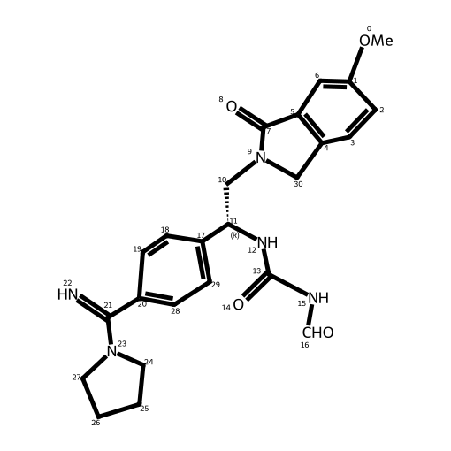 COc1ccc2c(c1)C(=O)N(C[C@H](NC(=O)NC=O)c1ccc(C(=N)N3CCCC3)cc1)C2